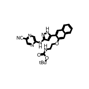 CC(C)(C)OC(=O)NCCOc1cc2ccccc2cc1-c1cc(Nc2cnc(C#N)cn2)n[nH]1